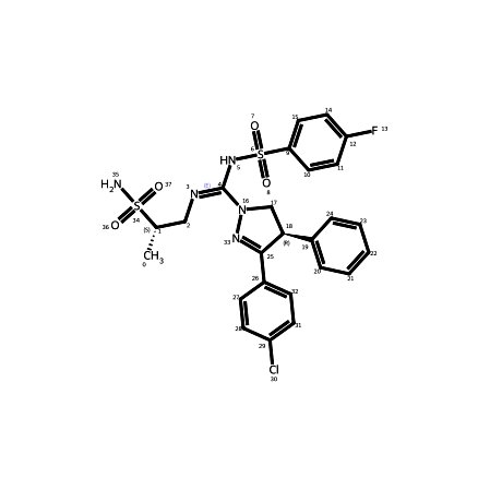 C[C@@H](C/N=C(/NS(=O)(=O)c1ccc(F)cc1)N1C[C@@H](c2ccccc2)C(c2ccc(Cl)cc2)=N1)S(N)(=O)=O